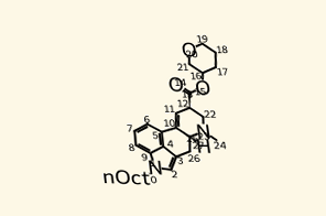 CCCCCCCCn1cc2c3c(cccc31)C1=C[C@@H](C(=O)OC3CCCOC3)CN(C)[C@@H]1C2